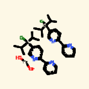 CC(C)[Si](Cl)(c1ccc(-c2ccccn2)nc1)C(C)C.CC(C)[Si](Cl)(c1ccc(-c2ccccn2)nc1)C(C)C.[OH][Fe][OH]